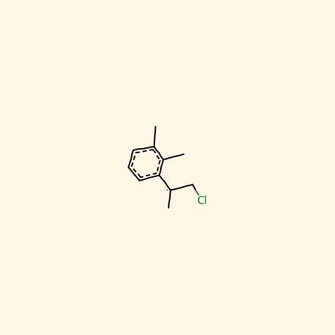 C[C](CCl)c1cccc(C)c1C